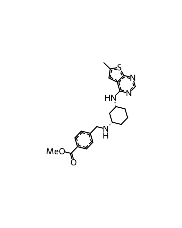 COC(=O)c1ccc(CN[C@H]2CCC[C@@H](Nc3ncnc4sc(C)cc34)C2)cc1